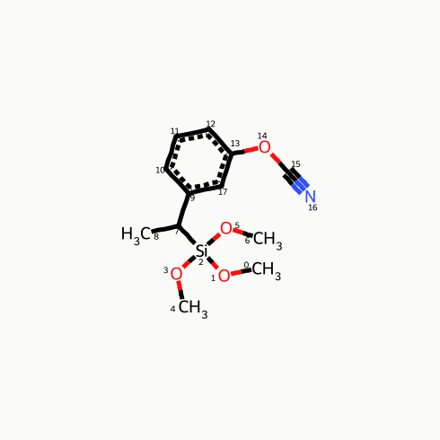 CO[Si](OC)(OC)C(C)c1cccc(OC#N)c1